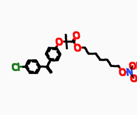 C=C(c1ccc(Cl)cc1)c1ccc(OC(C)(C)C(=O)OCCCCCCCON(O)O)cc1